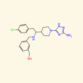 Nc1n[nH]c(N2CCC(C(Cc3ccc(Cl)cc3)NCc3cccc(CO)c3)CC2)n1